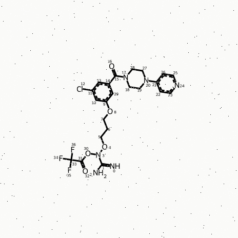 N=C(N)N(OCCCOc1cc(Cl)cc(C(=O)N2CCN(c3ccncc3)CC2)c1)OC(=O)C(F)(F)F